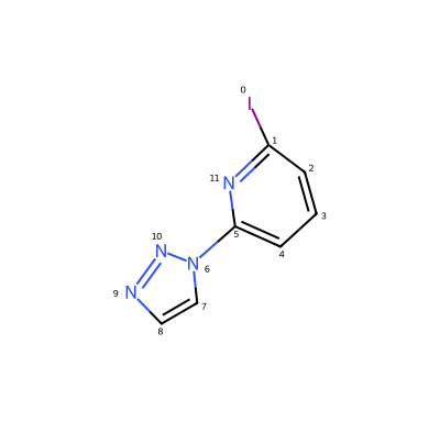 Ic1cccc(-n2ccnn2)n1